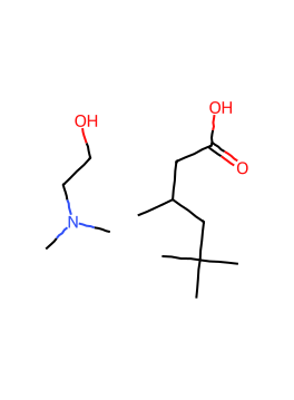 CC(CC(=O)O)CC(C)(C)C.CN(C)CCO